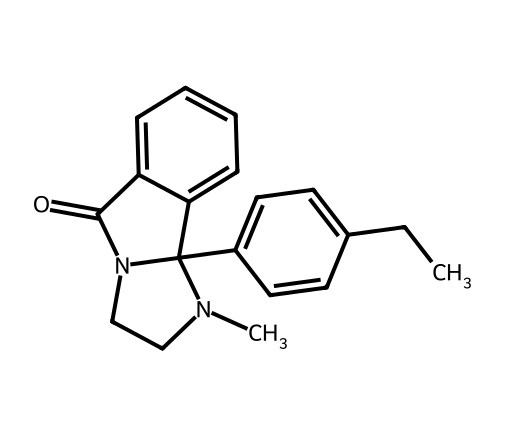 CCc1ccc(C23c4ccccc4C(=O)N2CCN3C)cc1